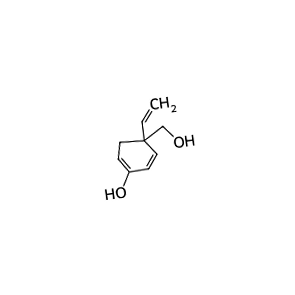 C=CC1(CO)C=CC(O)=CC1